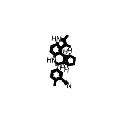 Cc1ccc([C@@H]2Nc3ccc4[nH]c(C)c(C)c4c3[C@H]3[C@@H]4CC[C@@H](C4)[C@H]32)cc1C#N